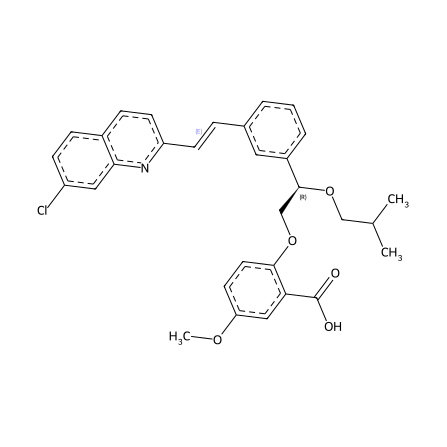 COc1ccc(OC[C@H](OCC(C)C)c2cccc(/C=C/c3ccc4ccc(Cl)cc4n3)c2)c(C(=O)O)c1